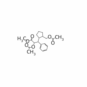 COC(=O)C(OC(C)=O)C(c1ccccc1)C1CCCC1COC(C)=O